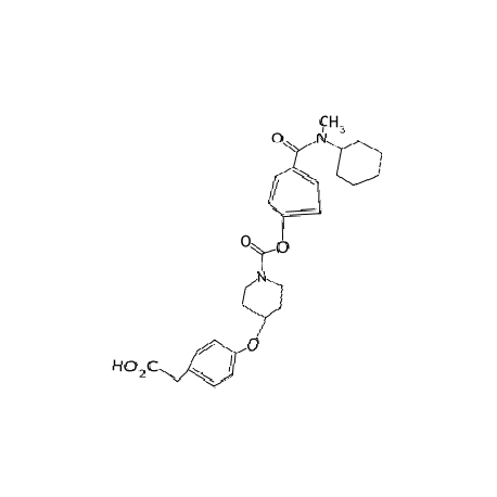 CN(C(=O)c1ccc(OC(=O)N2CCC(Oc3ccc(CC(=O)O)cc3)CC2)cc1)C1CCCCC1